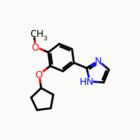 COc1ccc(-c2ncc[nH]2)cc1OC1CCCC1